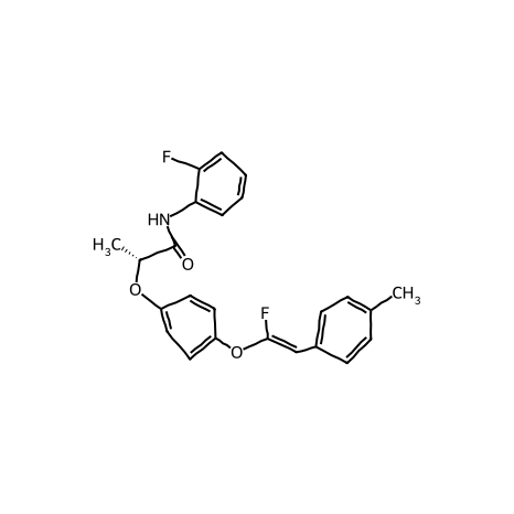 Cc1ccc(/C=C(\F)Oc2ccc(O[C@H](C)C(=O)Nc3ccccc3F)cc2)cc1